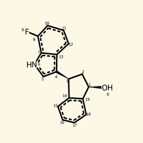 O[C@@H]1C[C@H](c2c[nH]c3c(F)cccc23)c2ccccc21